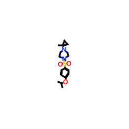 CC(C)Oc1ccc(S(=O)(=O)N2CCN(C3(C)CC3)CC2)cc1